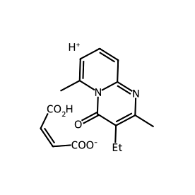 CCc1c(C)nc2cccc(C)n2c1=O.O=C([O-])/C=C\C(=O)O.[H+]